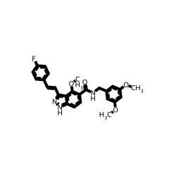 COc1cc(CNC(=O)c2ccc3[nH]nc(C=Cc4ccc(F)cc4)c3c2OC)cc(OC)c1